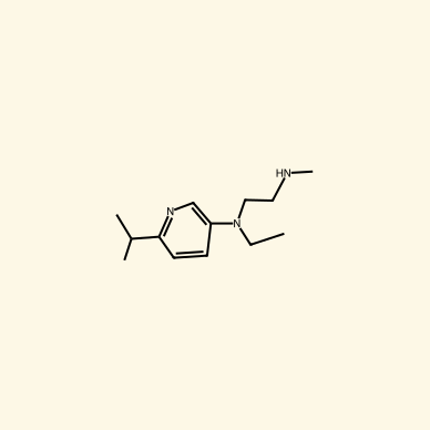 CCN(CCNC)c1ccc(C(C)C)nc1